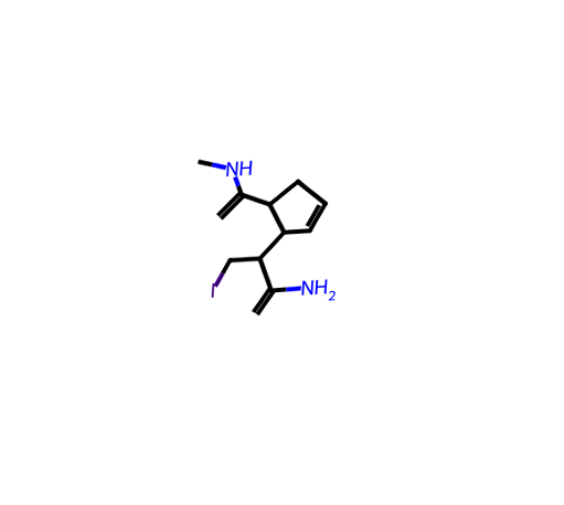 C=C(N)C(CI)C1C=CCC1C(=C)NC